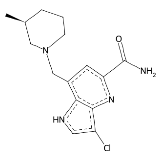 C[C@H]1CCCN(Cc2cc(C(N)=O)nc3c(Cl)c[nH]c23)C1